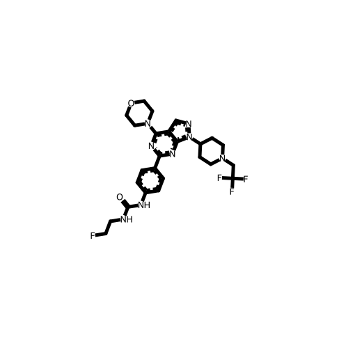 O=C(NCCF)Nc1ccc(-c2nc(N3CCOCC3)c3cnn(C4CCN(CC(F)(F)F)CC4)c3n2)cc1